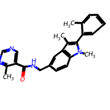 Cc1ccccc1-c1c(C)c2cc(CNC(=O)c3cncnc3C)ccc2n1C